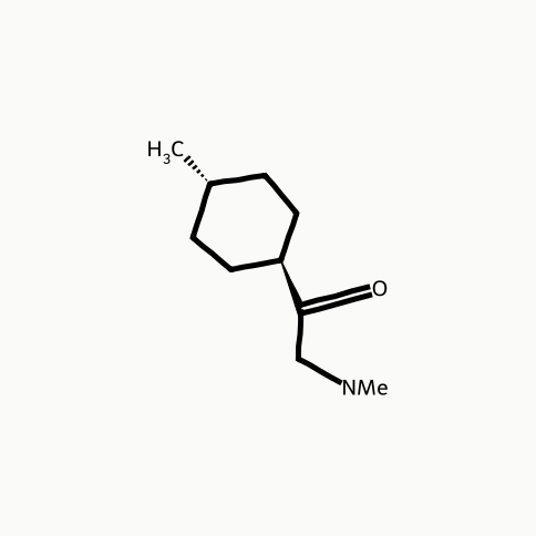 CNCC(=O)[C@H]1CC[C@H](C)CC1